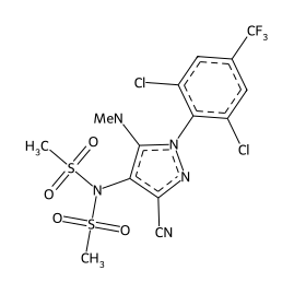 CNc1c(N(S(C)(=O)=O)S(C)(=O)=O)c(C#N)nn1-c1c(Cl)cc(C(F)(F)F)cc1Cl